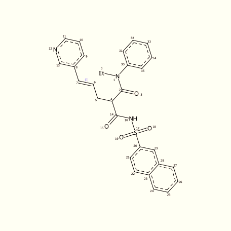 CCN(C(=O)C(C/C=C/c1cccnc1)C(=O)NS(=O)(=O)c1ccc2ccccc2c1)c1ccccc1